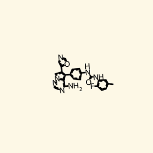 Cc1ccc(F)c(NC(=O)Nc2ccc(-c3c(-c4cnco4)cn4ncnc(N)c34)cc2)c1